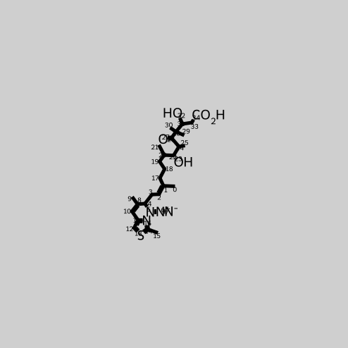 CC(=CCC(N=[N+]=[N-])C(C)=Cc1csc(C)n1)CCCC(C)C(O)C(C)C(=O)C(C)(C)C(O)CC(=O)O